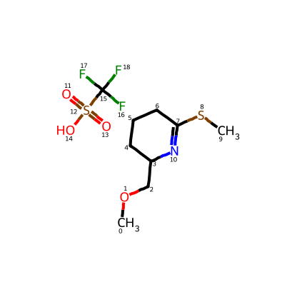 COCC1CCCC(SC)=N1.O=S(=O)(O)C(F)(F)F